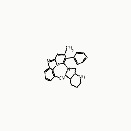 Cc1cc2nc3cccc(C#N)c3n2c(N2CC3CCCNC3C2)c1-c1ccccc1